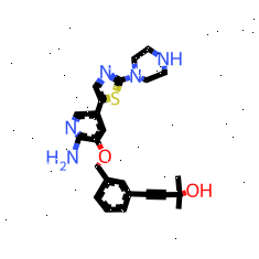 CC(C)(O)C#Cc1cccc(COc2cc(-c3cnc(N4CCNCC4)s3)cnc2N)c1